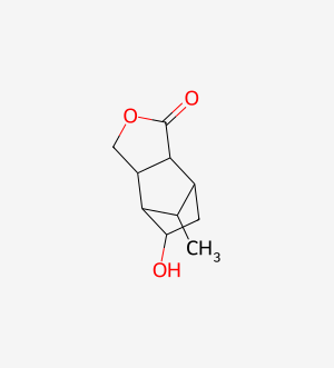 CC1C2CC(O)C1C1COC(=O)C21